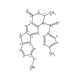 Cc1ccc(C(=O)N2c3cc4c(cc3C(=O)OC2C)oc2ccc(CO)cc24)cc1